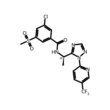 C[C@@H](NC(=O)c1cc(Cl)cc(S(C)(=O)=O)c1)c1ncnn1-c1ccc(C(F)(F)F)cn1